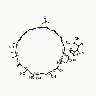 CC1OC(O[C@H]2/C=C/C=C/C=C/C=C/C=C/C=C/C=C/[C@H](C)[C@@H](O)[C@H](C)[C@H](C)OC(=O)C[C@H](O)C[C@H](O)[C@@H](O)CC[C@H](O)C[C@H](O)C[C@]3(O)C[C@H](O)[C@@H](C(=O)O)[C@H](C2)O3)C(O)C(N)C1O.C[S+](C)[O-]